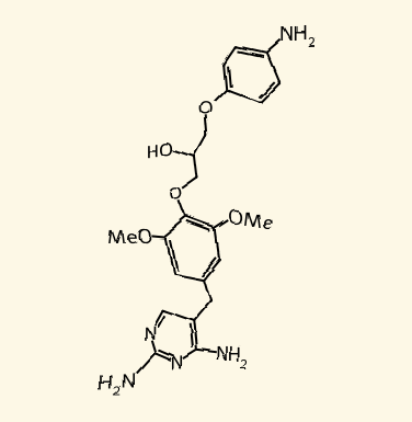 COc1cc(Cc2cnc(N)nc2N)cc(OC)c1OCC(O)COc1ccc(N)cc1